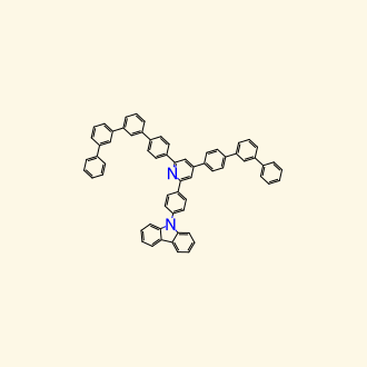 c1ccc(-c2cccc(-c3ccc(-c4cc(-c5ccc(-c6cccc(-c7cccc(-c8ccccc8)c7)c6)cc5)nc(-c5ccc(-n6c7ccccc7c7ccccc76)cc5)c4)cc3)c2)cc1